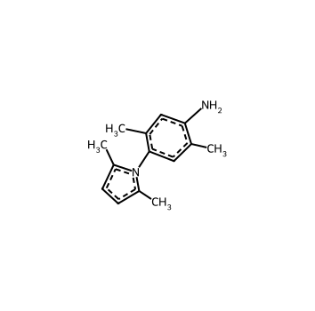 Cc1cc(-n2c(C)ccc2C)c(C)cc1N